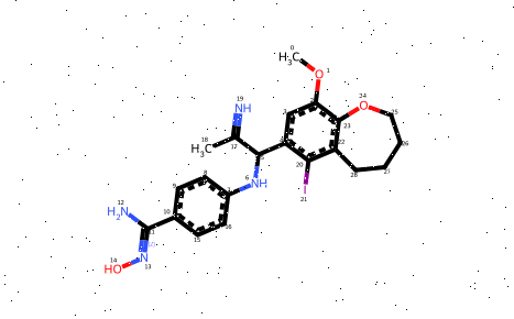 COc1cc(C(Nc2ccc(/C(N)=N/O)cc2)C(C)=N)c(I)c2c1OCCCC2